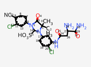 CC1(C)C(=O)N(c2ccc(C#N)c(Cl)c2)C(S(=O)(=O)O)N1c1ccc(Cl)c(NC(=O)CC(N)C(N)=O)c1